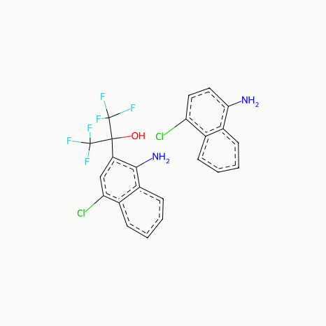 Nc1c(C(O)(C(F)(F)F)C(F)(F)F)cc(Cl)c2ccccc12.Nc1ccc(Cl)c2ccccc12